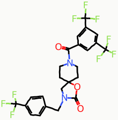 O=C1OC2(CCN(C(=O)c3cc(C(F)(F)F)cc(C(F)(F)F)c3)CC2)CN1Cc1ccc(C(F)(F)F)cc1